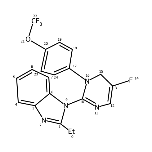 CCc1nc2ccccc2n1C1=NC=C(F)CN1c1ccc(OC(F)(F)F)cc1